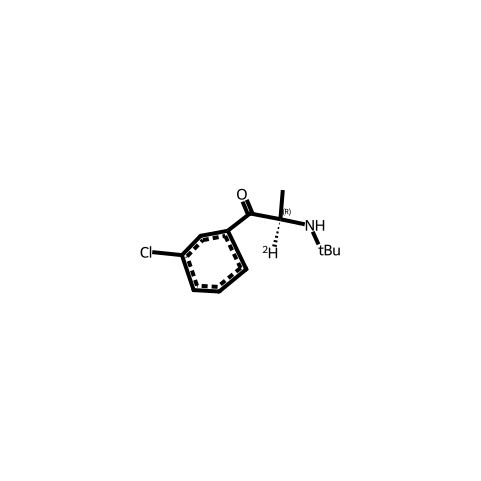 [2H][C@](C)(NC(C)(C)C)C(=O)c1cccc(Cl)c1